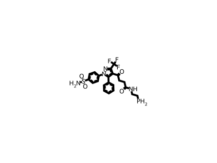 NS(=O)(=O)c1ccc(-n2nc(C(F)(F)F)c(C(=O)CCC(=O)NCCP)c2-c2ccccc2)cc1